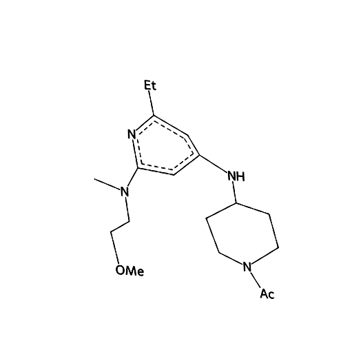 CCc1cc(NC2CCN(C(C)=O)CC2)cc(N(C)CCOC)n1